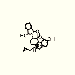 O=C1c2ccccc2C(O)N1[C@@H]1CC[C@@]2(O)[C@H]3Cc4ccc(O)c5c4[C@@]2(CCN3CC2CC2)[C@H]1O5